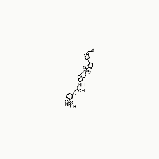 CNS(=O)(=O)c1cccc(OCC(O)CNC2COC3(CCN(S(=O)(=O)c4cccc(-c5cnn(CC6CC6)c5)c4)CC3)C2)c1